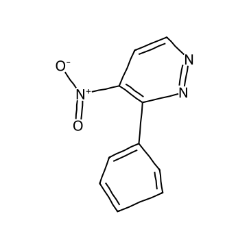 O=[N+]([O-])c1ccnnc1-c1ccccc1